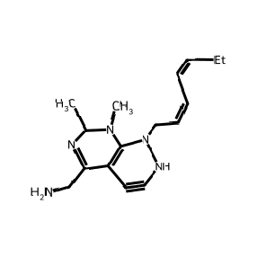 CC/C=C\C=C/CN1NC#CC2=C1N(C)C(C)N=C2CN